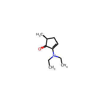 CCN(CC)C1=CCC(C)C1=O